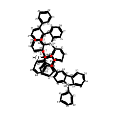 CC1(C)c2ccccc2-c2cccc(N(c3ccccc3-c3ccccc3-c3ccccc3)c3ccccc3-c3ccc(-c4ccc5c(c4)c4ccccc4n5-c4ccccc4)c4ccccc34)c21